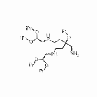 CCOC(CN)(CCPCC(OC(C)C)OC(C)C)CCPCC(OC(C)C)OC(C)C